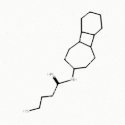 N=C(CCCS)NC1CCC2C3CCCCC3C2CC1